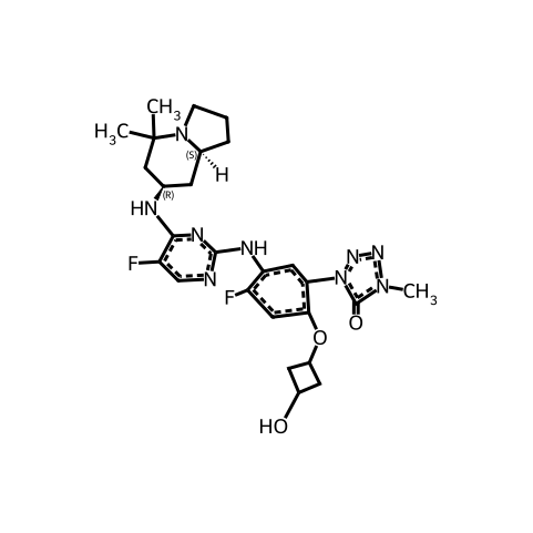 Cn1nnn(-c2cc(Nc3ncc(F)c(N[C@@H]4C[C@@H]5CCCN5C(C)(C)C4)n3)c(F)cc2OC2CC(O)C2)c1=O